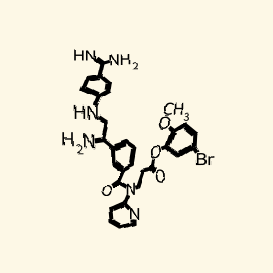 COc1ccc(Br)cc1OC(=O)CCN(C(=O)c1cccc(C(N)CNc2ccc(C(=N)N)cc2)c1)c1ccccn1